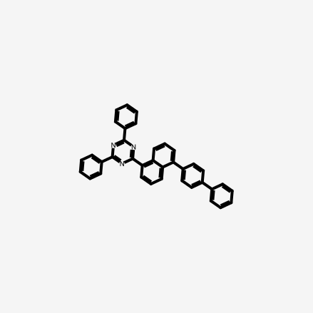 c1ccc(-c2ccc(-c3cccc4c(-c5nc(-c6ccccc6)nc(-c6ccccc6)n5)cccc34)cc2)cc1